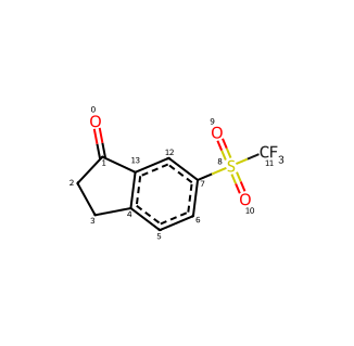 O=C1CCc2ccc(S(=O)(=O)C(F)(F)F)cc21